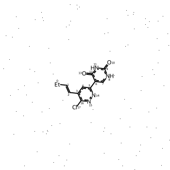 CC/C=C/c1cc(-c2c[nH]c(=O)[nH]c2=O)nnc1Cl